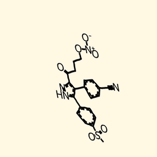 CS(=O)(=O)c1ccc(-c2[nH]nc(C(=O)CCCO[N+](=O)[O-])c2-c2ccc(C#N)cc2)cc1